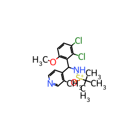 COc1ccc(Cl)c(Cl)c1C(N[S+]([O-])C(C)(C)C)c1ccncc1C